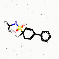 CC(C)C(NS(=O)(=O)C1([N+](=O)[O-])C=CC(c2ccccc2)=CC1)C(=O)O